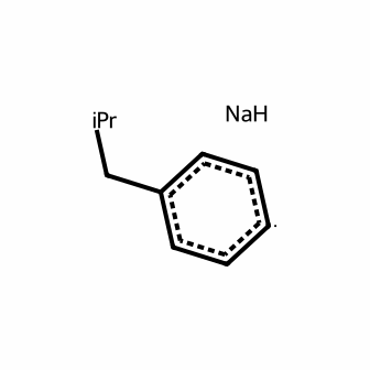 CC(C)Cc1cc[c]cc1.[NaH]